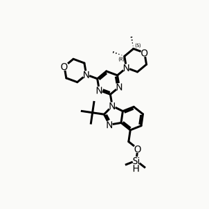 C[C@@H]1OCCN(c2cc(N3CCOCC3)nc(-n3c(C(C)(C)C)nc4c(CO[SiH](C)C)cccc43)n2)[C@@H]1C